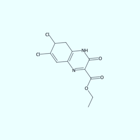 CCOC(=O)c1nc2c([nH]c1=O)CC(Cl)C(Cl)=C2